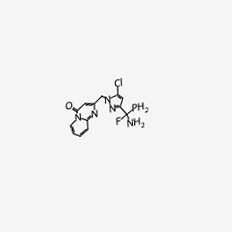 NC(F)(P)c1cc(Cl)n(Cc2cc(=O)n3ccccc3n2)n1